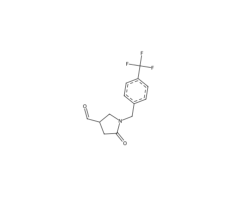 O=CC1CC(=O)N(Cc2ccc(C(F)(F)F)cc2)C1